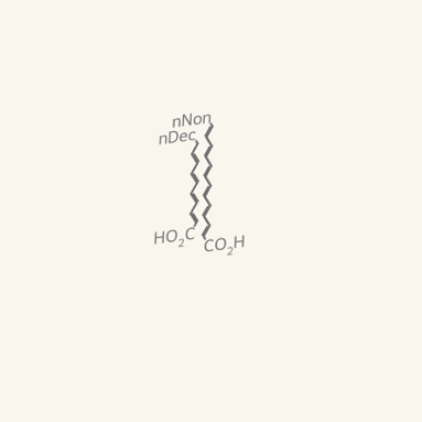 CCCCCCCCCC=CC=CC=CC=CC=CC=CC(=O)O.CCCCCCCCCCCC=CC=CC=CC=CC(=O)O